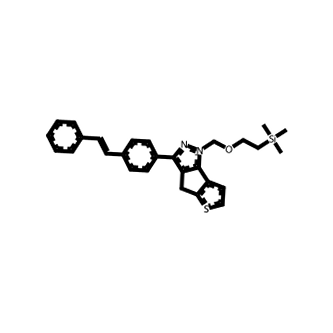 C[Si](C)(C)CCOCn1nc(-c2ccc(C=Cc3ccccc3)cc2)c2c1-c1ccsc1C2